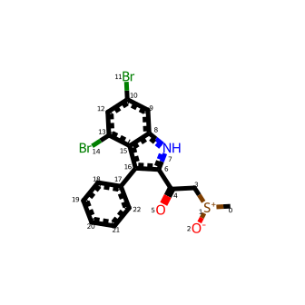 C[S+]([O-])CC(=O)c1[nH]c2cc(Br)cc(Br)c2c1-c1ccccc1